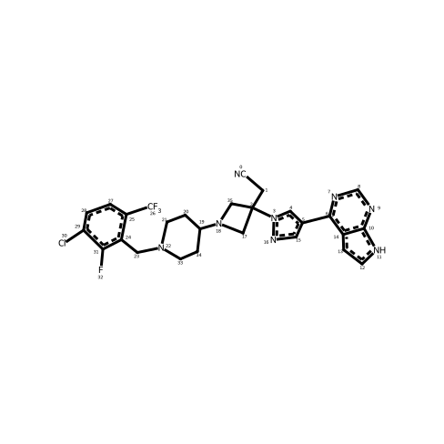 N#CCC1(n2cc(-c3ncnc4[nH]ccc34)cn2)CN(C2CCN(Cc3c(C(F)(F)F)ccc(Cl)c3F)CC2)C1